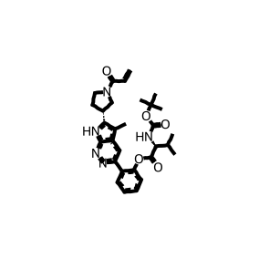 C=CC(=O)N1CC[C@@H](c2[nH]c3nnc(-c4ccccc4OC(=O)[C@@H](NC(=O)OC(C)(C)C)C(C)C)cc3c2C)C1